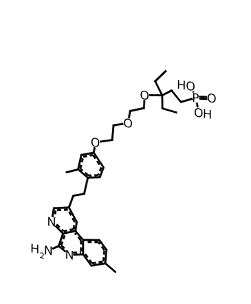 CCC(CC)(CCP(=O)(O)O)OCCOCCOc1ccc(CCc2cnc3c(N)nc4cc(C)ccc4c3c2)c(C)c1